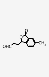 Cc1ccc2c(c1)C(=O)OC2CCC=O